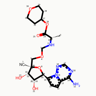 C[C@H](NCOC[C@@]1(C#N)O[C@@H](c2ccc3c(N)ncnn23)[C@H](O)[C@@H]1O)C(=O)OC1CCOCC1